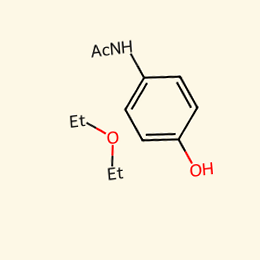 CC(=O)Nc1ccc(O)cc1.CCOCC